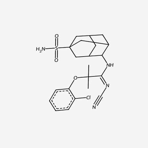 CC(C)(Oc1ccccc1Cl)/C(=N\C#N)NC1C2CC3CC1CC(S(N)(=O)=O)(C3)C2